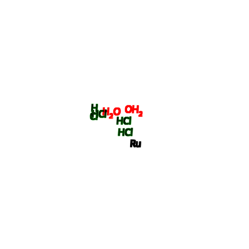 Cl.Cl.Cl.Cl.O.O.[Ru]